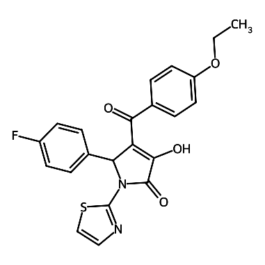 CCOc1ccc(C(=O)C2=C(O)C(=O)N(c3nccs3)C2c2ccc(F)cc2)cc1